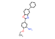 CCOc1ccc(-c2nc3cc(-c4ccccc4)ccc3o2)cc1N